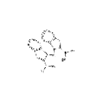 CC(C)P(C1=Cc2ccccc2[CH]1[Hf][CH]1C(P(C(C)C)C(C)C)=Cc2ccccc21)C(C)C